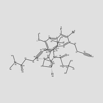 CSc1nc2c(F)c(Br)c(CCC#N)cc2c(N(C(=O)OC(C)(C)C)C2[C@@H]3C[C@H]2N(C(=O)OC(C)(C)C)C3)c1C#CCCC(=O)N(C)C